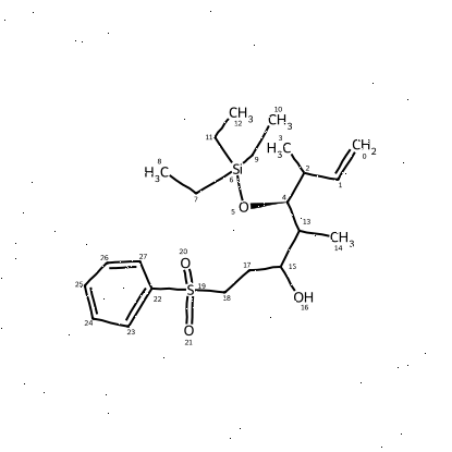 C=CC(C)[C@H](O[Si](CC)(CC)CC)C(C)C(O)CCS(=O)(=O)c1ccccc1